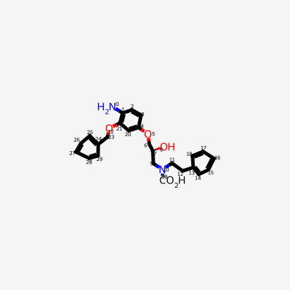 Nc1ccc(OC[C@@H](O)CN(CCc2ccccc2)C(=O)O)cc1OCc1ccccc1